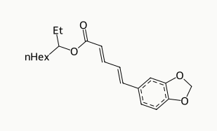 CCCCCCC(CC)OC(=O)C=CC=Cc1ccc2c(c1)OCO2